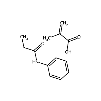 C=C(C)C(=O)O.CCC(=O)Nc1ccccc1